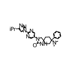 CC(C)c1cn(-c2ncc(N3CC4(CCC(c5ccccc5)(N(C)C)CC4)NC3=O)cn2)nn1